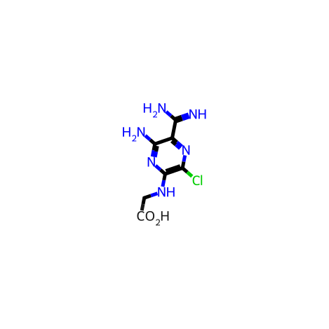 N=C(N)c1nc(Cl)c(NCC(=O)O)nc1N